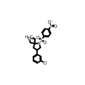 CCC1(CC)CC(c2cccc(Cl)c2)CN1S(=O)(=O)c1ccc([N+](=O)[O-])cc1